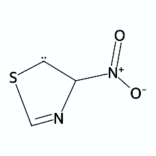 O=[N+]([O-])C1[C]SC=N1